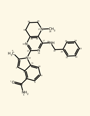 Cc1cc2c(C(N)=O)cccc2n1-c1nc2c(c(NCc3ccccc3)n1)N(C)CCC2